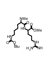 CNC(CCCCNC(=O)OC(C)(C)C)C(=O)NC(CCCNC(=N)N)C(=O)OC